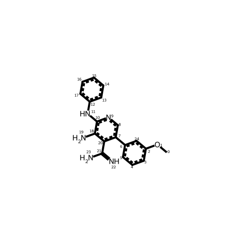 COc1cccc(-c2cnc(Nc3ccccc3)c(N)c2C(=N)N)c1